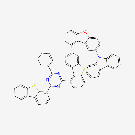 C1=CC(c2nc(-c3cccc4c3sc3ccccc34)nc(-c3cccc4sc5cc(-c6cccc7oc8ccc(-n9c%10ccccc%10c%10ccccc%109)cc8c67)ccc5c34)n2)=CCC1